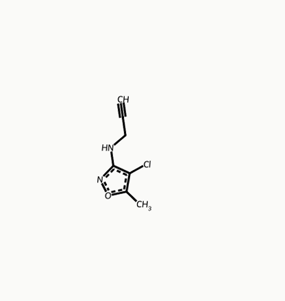 C#CCNc1noc(C)c1Cl